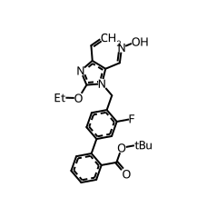 C=Cc1nc(OCC)n(Cc2ccc(-c3ccccc3C(=O)OC(C)(C)C)cc2F)c1C=NO